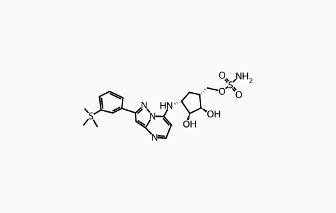 CS(C)(C)c1cccc(-c2cc3nccc(N[C@@H]4C[C@H](COS(N)(=O)=O)[C@@H](O)[C@H]4O)n3n2)c1